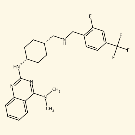 CN(C)c1nc(N[C@H]2CC[C@@H](CNCc3ccc(C(F)(F)F)cc3F)CC2)nc2ccccc12